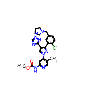 COC(=O)Nc1cc(-n2cc(-c3nc[nH]n3)c(-c3cc(CN4CCCC4)ccc3Cl)n2)c(C)cn1